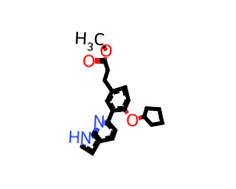 COC(=O)CCc1ccc(OC2CCCC2)c(-c2ccc3cc[nH]c3n2)c1